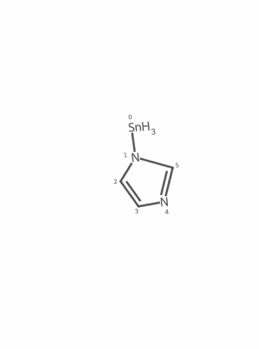 [SnH3][n]1ccnc1